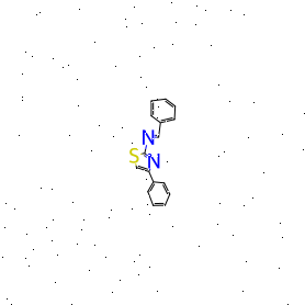 C(=Nc1nc(-c2ccccc2)cs1)c1ccccc1